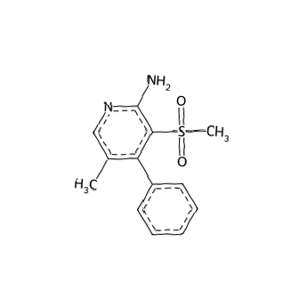 Cc1cnc(N)c(S(C)(=O)=O)c1-c1ccccc1